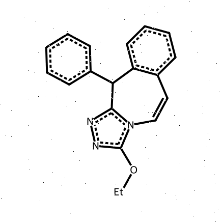 CCOc1nnc2n1C=Cc1ccccc1C2c1ccccc1